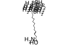 BC(B)(B)C(B)(B)C(B)(B)C(B)(B)CCCCCCCCC/C=C/C[C@@H](N)CO